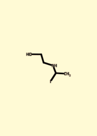 CC(I)NCCO